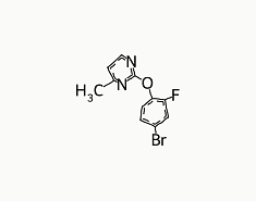 Cc1ccnc(Oc2ccc(Br)cc2F)n1